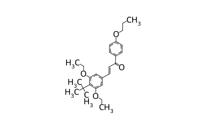 CCCOc1ccc(C(=O)C=Cc2cc(OCC)c(C(C)(C)C)c(OCC)c2)cc1